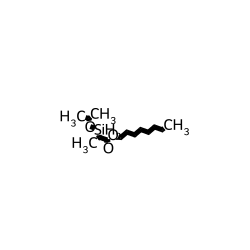 CCCCCCCCOC(=O)C(C)[SiH2]OC(C)C